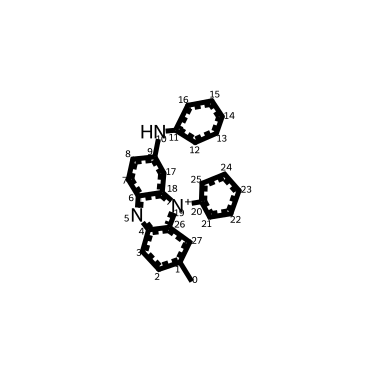 Cc1ccc2nc3ccc(Nc4ccccc4)cc3[n+](-c3ccccc3)c2c1